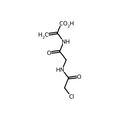 C=C(NC(=O)CNC(=O)CCl)C(=O)O